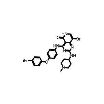 CC(C)c1ccc(Oc2ccc(Nc3nc(NC4CCN(C)CC4)nc4c(Br)c[nH]c(=O)c34)cc2)cc1